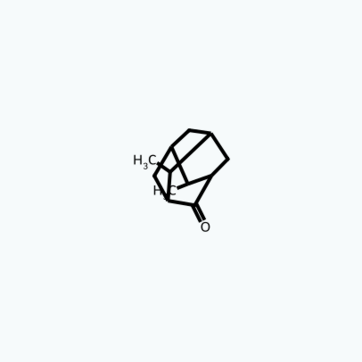 CC1C2CC3CC1C(=O)C(C2)C3C